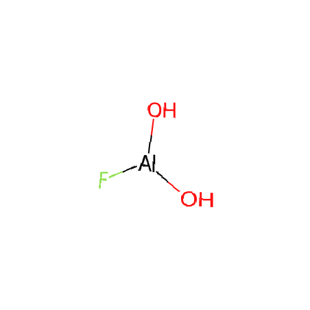 [OH][Al]([OH])[F]